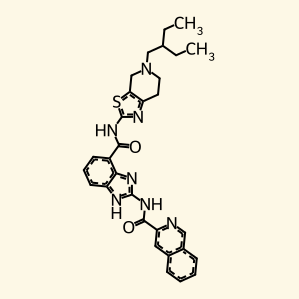 CCC(CC)CN1CCc2nc(NC(=O)c3cccc4[nH]c(NC(=O)c5cc6ccccc6cn5)nc34)sc2C1